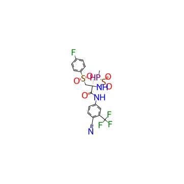 CPS(=O)(=O)N[C@](C)(CS(=O)(=O)c1ccc(F)cc1)C(=O)Nc1ccc(C#N)c(C(F)(F)F)c1